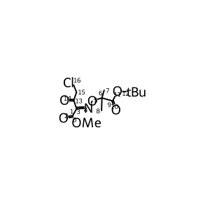 COC(=O)C(=NOC(C)(C)C(=O)OC(C)(C)C)C(=O)CCl